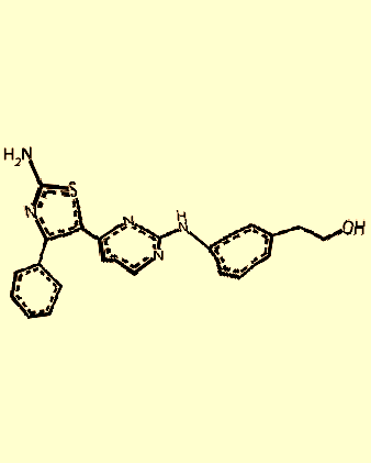 Nc1nc(-c2ccccc2)c(-c2ccnc(Nc3cccc(CCO)c3)n2)s1